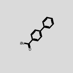 CCC(C)C(=O)c1ccc(-c2ccccc2)cc1